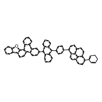 C1=CC(c2ccc3ccc4c(-c5ccc(-c6c7ccccc7c(-c7ccc8c(c7)c7ccccc7c7c8ccc8c9ccccc9oc87)c7ccccc67)cc5)ccc5ccc2c3c54)=CCC1